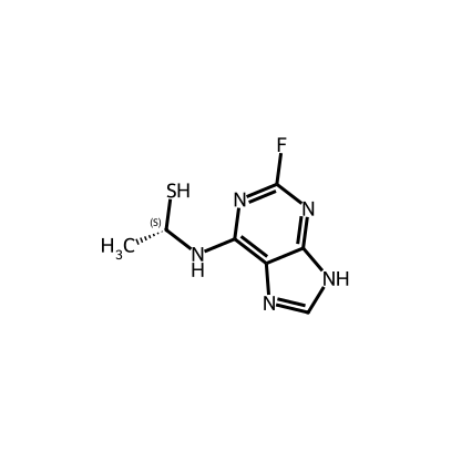 C[C@H](S)Nc1nc(F)nc2[nH]cnc12